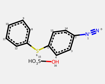 N#[N+]c1ccc(Sc2ccccc2)cc1.O=S(=O)(O)O